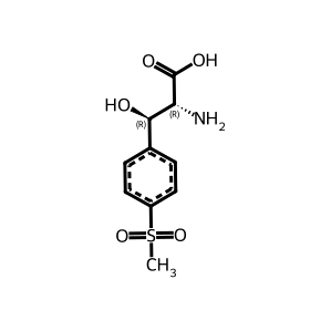 CS(=O)(=O)c1ccc([C@@H](O)[C@@H](N)C(=O)O)cc1